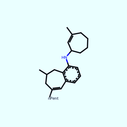 CCCCCC1=Cc2cccc(NC3C=C(C)CCCC3)c2CC(C)C1